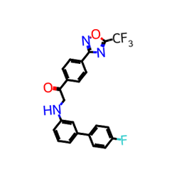 O=C(CNc1cccc(-c2ccc(F)cc2)c1)c1ccc(-c2noc(C(F)(F)F)n2)cc1